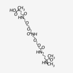 CN[C@@H](CCCCNC(=O)COCCOCCNC(=O)COCCOCCNC(=O)CC[C@H](C)C(=O)O)C(C)=O